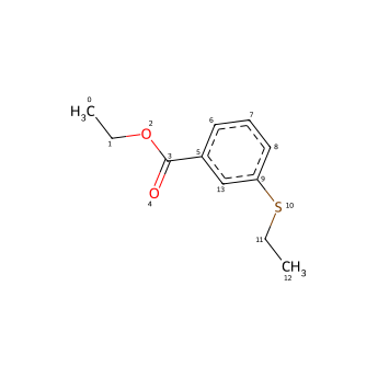 CCOC(=O)c1cccc(SCC)c1